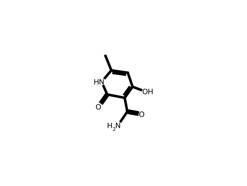 Cc1cc(O)c(C(N)=O)c(=O)[nH]1